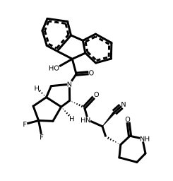 N#C[C@@H](C[C@H]1CCCNC1=O)NC(=O)[C@@H]1[C@H]2CC(F)(F)C[C@H]2CN1C(=O)C1(O)c2ccccc2-c2ccccc21